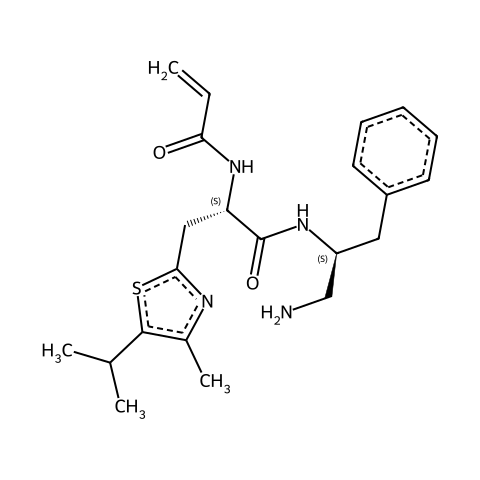 C=CC(=O)N[C@@H](Cc1nc(C)c(C(C)C)s1)C(=O)N[C@H](CN)Cc1ccccc1